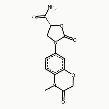 CN1C(=O)COc2cc(N3C[C@H](C(N)=O)OC3=O)ccc21